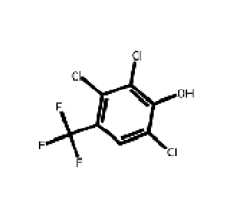 Oc1c(Cl)cc(C(F)(F)F)c(Cl)c1Cl